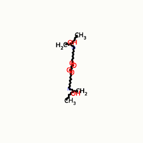 C=CCC(O)(C/C=C\CCCCCCCCOC(=O)CCC(=O)OCCCCCCCC/C=C\CC(O)(CC=C)CCCCCC)CCCCCC